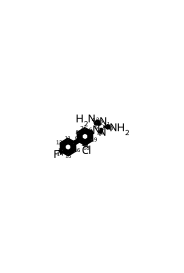 Nc1nc(N)n(-c2ccc(-c3ccc(F)cc3)c(Cl)c2)n1